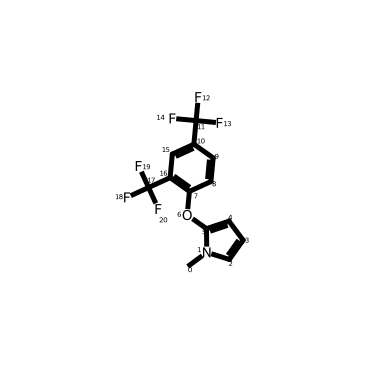 Cn1c[c]cc1Oc1ccc(C(F)(F)F)cc1C(F)(F)F